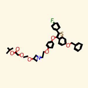 CC(C)(C)OC(=O)COCCOC1CN(CCOc2ccc(Oc3c(-c4ccc(F)cc4)sc4cc(OCc5ccccc5)ccc34)cc2)C1